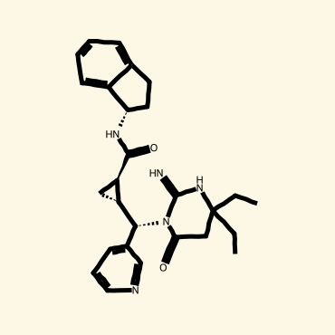 CCC1(CC)CC(=O)N([C@H](c2cccnc2)[C@@H]2C[C@H]2C(=O)N[C@H]2CCc3ccccc32)C(=N)N1